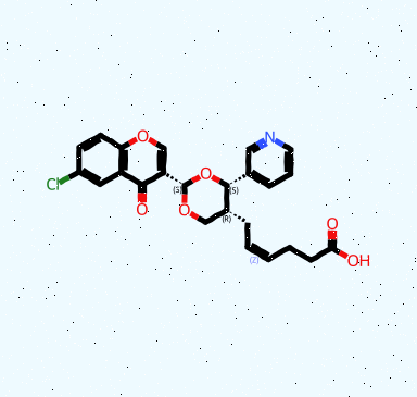 O=C(O)CC/C=C\C[C@@H]1CO[C@H](c2coc3ccc(Cl)cc3c2=O)O[C@@H]1c1cccnc1